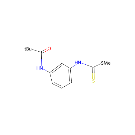 CSC(=S)Nc1cccc(NC(=O)C(C)(C)C)c1